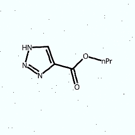 CCCOC(=O)c1c[nH]nn1